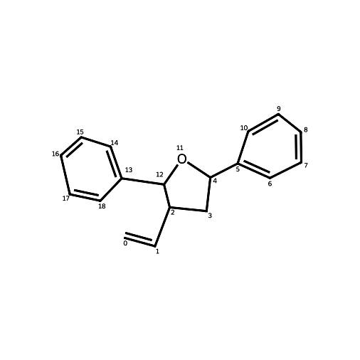 C=CC1CC(c2ccccc2)OC1c1ccccc1